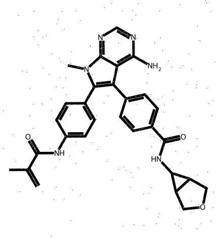 C=C(C)C(=O)Nc1ccc(-c2c(-c3ccc(C(=O)NC4C5COCC54)cc3)c3c(N)ncnc3n2C)cc1